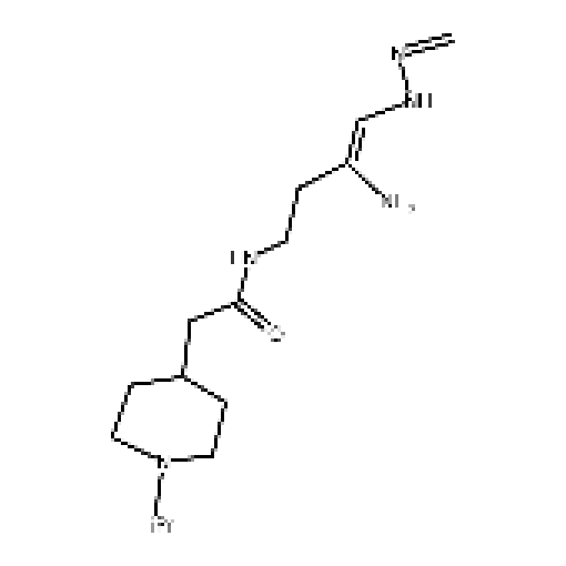 C=NN/C=C(\N)CCNC(=O)CC1CCN(C(C)C)CC1